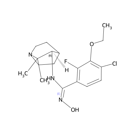 CCOc1c(Cl)ccc(/C(=N\O)N[C@@H]2C3CCN(CC3)C2(C)C)c1F